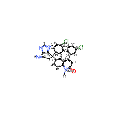 Cn1cncc1C(CC#N)(c1ccc(Cl)cc1)c1ccc2c(c1)c(-c1cccc(Cl)c1)cc(=O)n2C